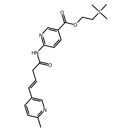 Cc1ccc(/C=C/CC(=O)Nc2ccc(C(=O)OCCS(C)(C)C)cn2)cn1